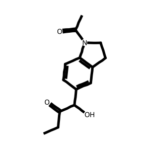 CCC(=O)C(O)c1ccc2c(c1)CCN2C(C)=O